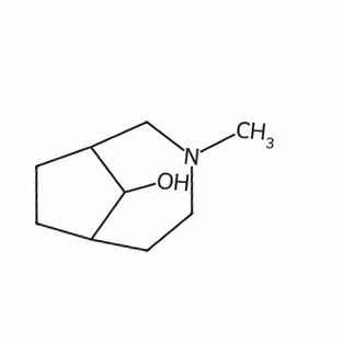 CN1CCC2CCC(C1)C2O